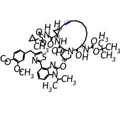 COc1ccc(Cc2csc(-c3cccc4c3nc(O[C@@H]3C[C@H]5C(=O)N[C@]6(C(=O)NS(=O)(=O)C7(C)CC7)C[C@H]6/C=C\CCCCC[C@H](NC(=O)OC(C)(C)C)C(=O)N5C3)n4C(C)C)n2)cc1OC